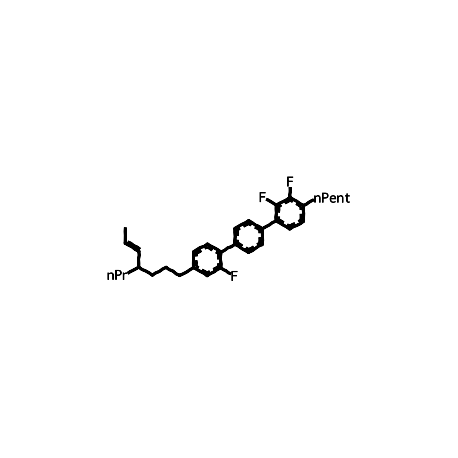 C/C=C/C(CCC)CCCc1ccc(-c2ccc(-c3ccc(CCCCC)c(F)c3F)cc2)c(F)c1